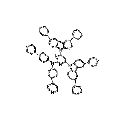 c1ccc(-c2ccc3c(c2)c2cc(-c4ccccc4)ccc2n3-c2cc(-n3c4ccc(-c5ccccc5)cc4c4cc(-c5ccccc5)ccc43)nc(N(c3ccc(-c4ccncc4)cc3)c3ccc(-c4ccncc4)cc3)n2)cc1